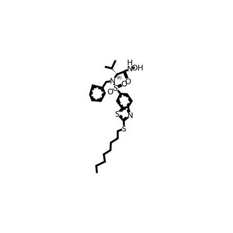 CCCCCCCCSc1nc2ccc(S(=O)(=O)N(Cc3ccccc3)[C@@H](C(=O)NO)C(C)C)cc2s1